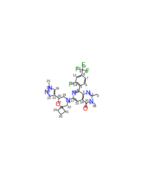 Cc1nc2c(-c3ccc(C(F)(F)F)cc3F)nc(N3CC(c4cnn(C)c4)OC4(CCC4)C3)cc2c(=O)n1C